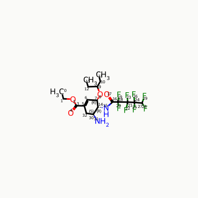 CCOC(=O)C1=C[C@@H](OC(CC)CC)[C@H](NC(=O)C(F)(F)C(F)(F)C(F)(F)C(F)F)[C@@H](N)C1